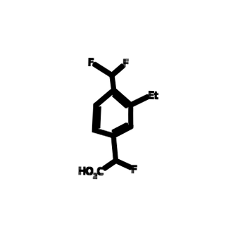 CCc1cc(C(F)C(=O)O)ccc1C(F)F